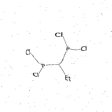 CCC(P(Cl)Cl)P(Cl)Cl